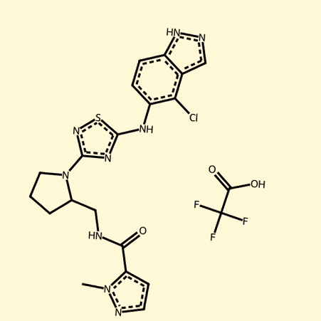 Cn1nccc1C(=O)NCC1CCCN1c1nsc(Nc2ccc3[nH]ncc3c2Cl)n1.O=C(O)C(F)(F)F